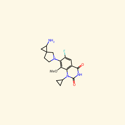 COc1c(N2CCC3(CC3N)C2)c(F)cc2c(=O)[nH]c(=O)n(C3CC3)c12